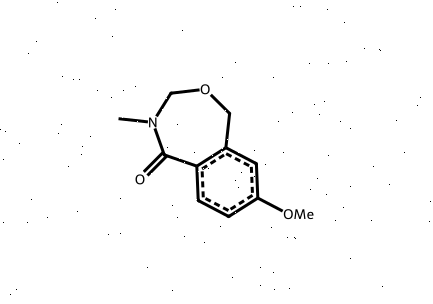 COc1ccc2c(c1)COCN(C)C2=O